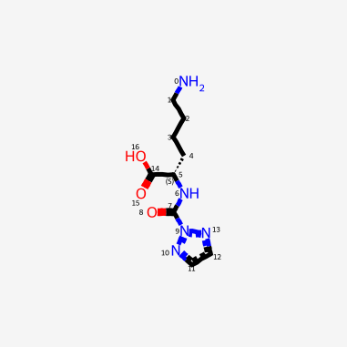 NCCCC[C@H](NC(=O)n1nccn1)C(=O)O